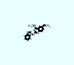 C=Cc1ccc2nc(On3nnc4ccccc43)nc(OC)c2c1